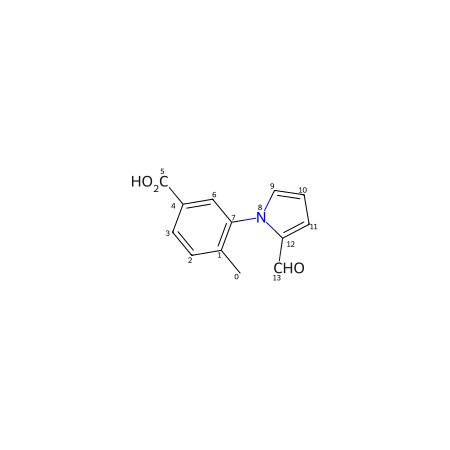 Cc1ccc(C(=O)O)cc1-n1cccc1C=O